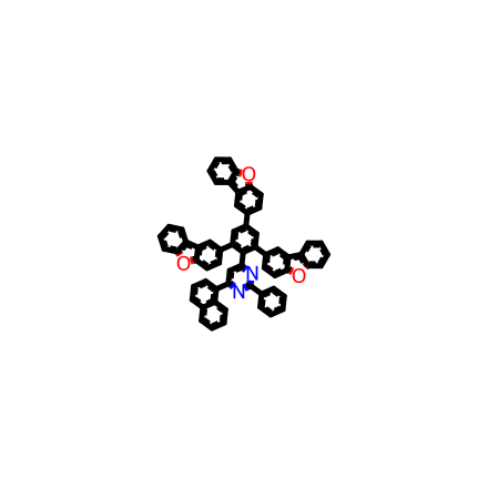 c1ccc(-c2nc(-c3c(-c4ccc5oc6ccccc6c5c4)cc(-c4ccc5oc6ccccc6c5c4)cc3-c3ccc4oc5ccccc5c4c3)cc(-c3cccc4ccccc34)n2)cc1